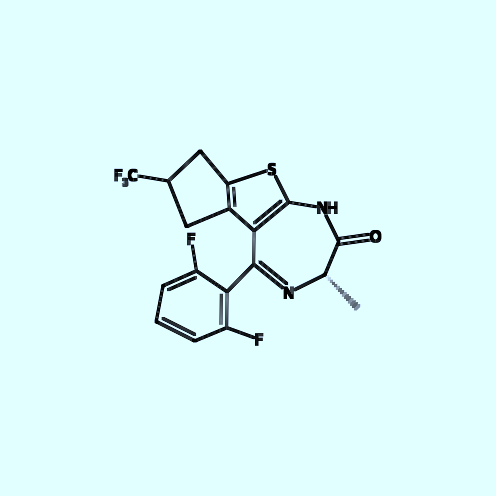 C[C@@H]1N=C(c2c(F)cccc2F)c2c(sc3c2CC(C(F)(F)F)C3)NC1=O